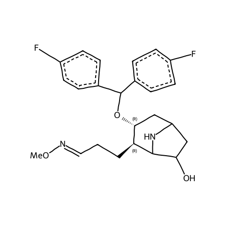 CON=CCC[C@@H]1C2NC(CC2O)C[C@H]1OC(c1ccc(F)cc1)c1ccc(F)cc1